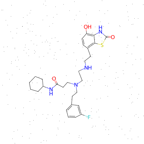 O=C(CCN(CCNCCc1ccc(O)c2[nH]c(=O)sc12)CCc1cccc(F)c1)NC1CCCCC1